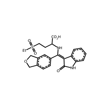 CCS(=O)(=O)CCC(NC(=C1C(=O)Nc2ccccc21)c1ccc2c(c1)COC2)C(=O)O